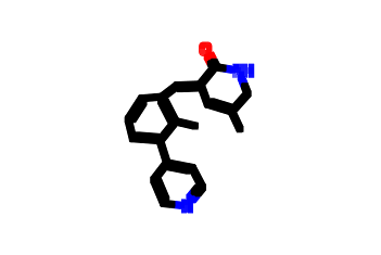 CC1=C/C(=C\c2cccc(-c3ccncc3)c2C)C(=O)NC1